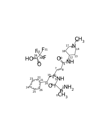 C[C@H](N)C(=O)N[C@H](C=CC(=O)NC1CCN(C)CC1)CCc1ccccc1.O=C(O)C(F)(F)F